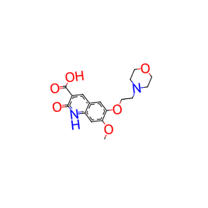 COc1cc2[nH]c(=O)c(C(=O)O)cc2cc1OCCN1CCOCC1